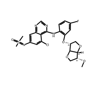 CO[C@@H]1COC2[C@H](Oc3cc(F)ccc3Nc3ncnc4cc(N=S(C)(C)=O)cc(Cl)c34)CO[C@@H]21